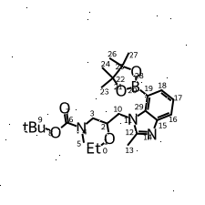 CCOC(CN(C)C(=O)OC(C)(C)C)Cn1c(C)nc2cccc(B3OC(C)(C)C(C)(C)O3)c21